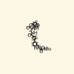 COC(=O)C(CNC(=O)c1ccc(-c2cccc(CNC(=O)OC(C)(C)C)c2)s1)Nc1ncccn1